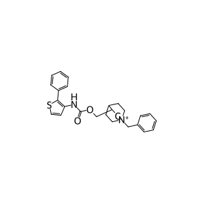 O=C(Nc1ccsc1-c1ccccc1)OCC1C[N+]2(Cc3ccccc3)CCC1CC2